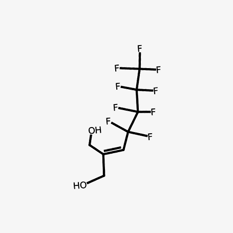 OCC(=CC(F)(F)C(F)(F)C(F)(F)C(F)(F)F)CO